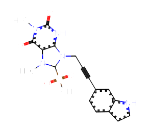 CN1c2c([nH]c(=O)n(C)c2=O)N(CC#Cc2ccc3cc[nH]c3c2)C1S(C)(=O)=O